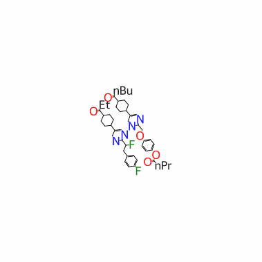 CCC(=O)C1CCC(c2cnc(C(F)Cc3ccc(F)cc3)nc2)CC1.CCCCC(=O)C1CCC(c2cnc(COc3ccc(OC(=O)CCC)cc3)nc2)CC1